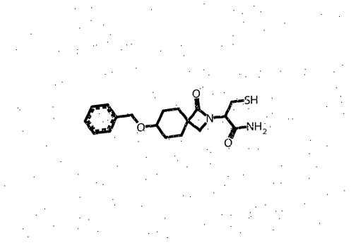 NC(=O)C(CS)N1CC2(CCC(OCc3ccccc3)CC2)C1=O